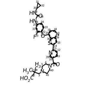 CC(C)(CN1CCN(C(=O)c2ccc(-c3cc4nccc(Oc5ccc(NC(=O)NC6CC6)cc5F)c4s3)nc2)CC1)C(=O)O